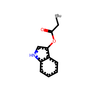 CC(C)(C)CC(=O)Oc1c[nH]c2ccccc12